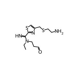 CCN(CCC=O)C(=N)c1nc(CSCCN)cs1